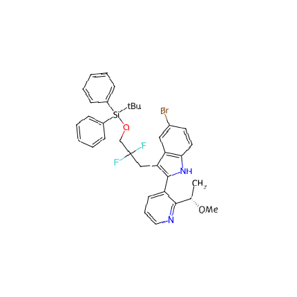 CO[C@@H](C)c1ncccc1-c1[nH]c2ccc(Br)cc2c1CC(F)(F)CO[Si](c1ccccc1)(c1ccccc1)C(C)(C)C